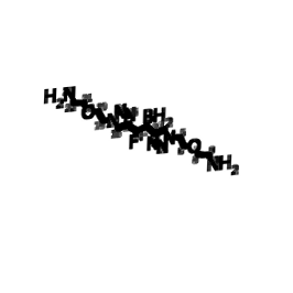 BC(c1cn(CCOCCN)nn1)C(F)c1cn(CCOCCN)nn1